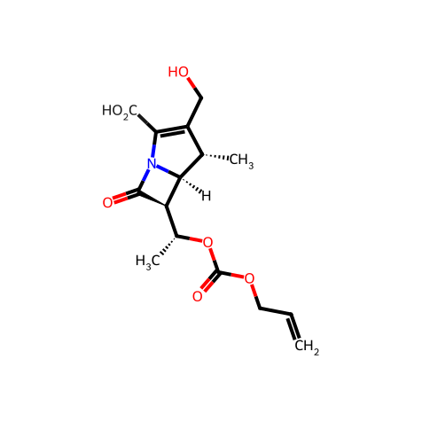 C=CCOC(=O)O[C@H](C)[C@H]1C(=O)N2C(C(=O)O)=C(CO)[C@H](C)[C@@H]12